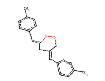 Cc1ccc(C=C2COOC(=Cc3ccc(C)cc3)C2)cc1